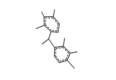 Cc1ccc(C(C)c2ccc(C)c(C)c2C)c(C)c1C